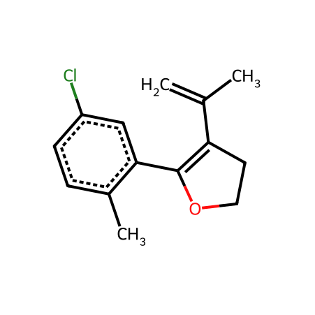 C=C(C)C1=C(c2cc(Cl)ccc2C)OCC1